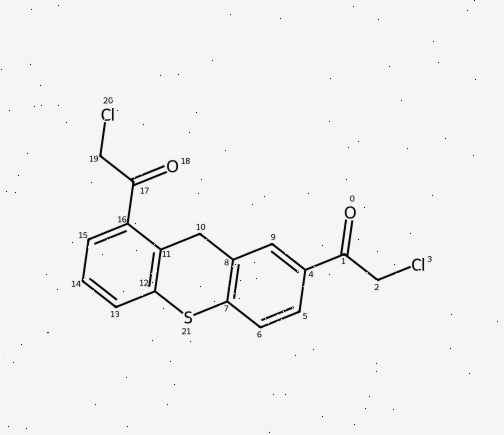 O=C(CCl)c1ccc2c(c1)Cc1c(cccc1C(=O)CCl)S2